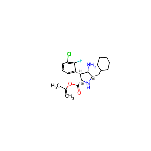 C=C(C)OC(=O)[C@H]1N[C@@H](CC2CCCCC2)C(N)[C@H]1c1cccc(Cl)c1F